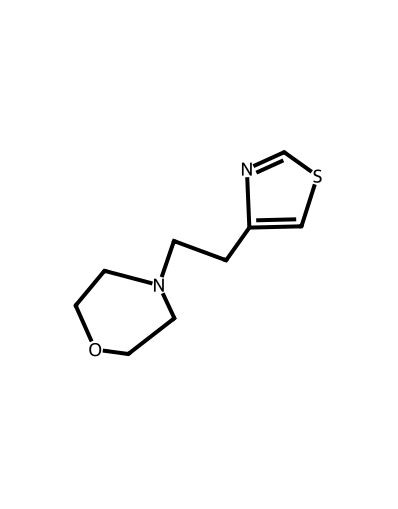 c1nc(CCN2CCOCC2)cs1